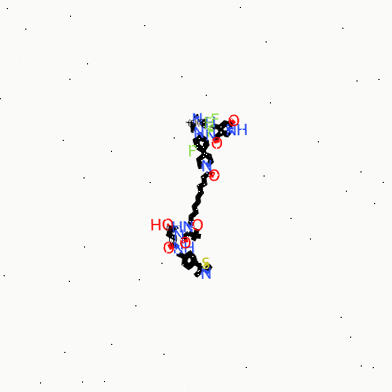 Cc1ncsc1-c1ccc(CNC(=O)[C@@H]2C[C@@H](O)CN2C(=O)C(NC(=O)CCCCCCCCCC(=O)N2CC=C(c3cc(NC(=O)c4c[nH]c(=O)cc4C(F)(F)F)c(N4C[C@@H](C)N(C)[C@@H](C)C4)cc3F)CC2)C(C)(C)C)cc1